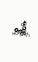 CC(C)(C)OC(=O)N1CCCC(c2cc(-c3ccccc3O)nc(N)c2C(N)=O)C1